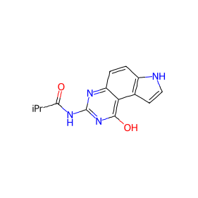 CC(C)C(=O)Nc1nc(O)c2c(ccc3[nH]ccc32)n1